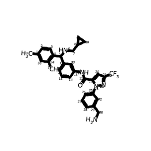 Cc1ccc(C(NCC2CC2)c2cccc(NC(=O)c3cc(C(F)(F)F)nn3-c3cccc(CN)c3)c2)c(C)c1